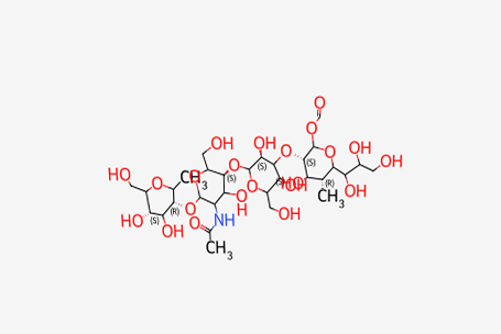 CC(=O)NC1C(O[C@H]2C(C)OC(CO)[C@@H](O)C2O)OC(CO)[C@@H](OC2OC(CO)[C@H](O)C(O[C@@H]3C(OC=O)OC(C(O)C(O)CO)[C@H](C)C3O)[C@@H]2O)C1O